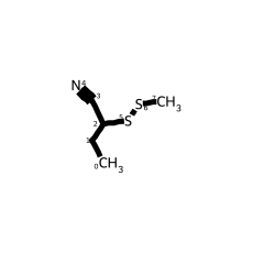 CCC(C#N)SSC